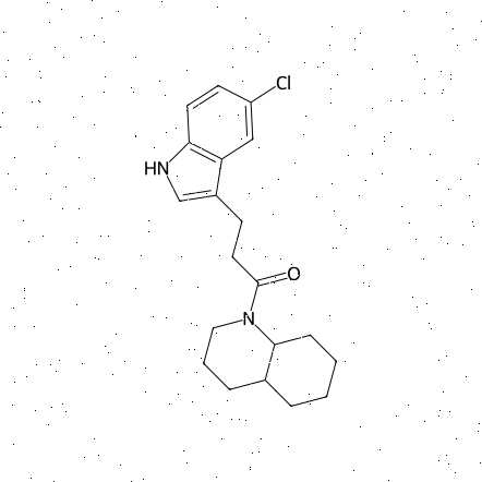 O=C(CCc1c[nH]c2ccc(Cl)cc12)N1CCCC2CCCCC21